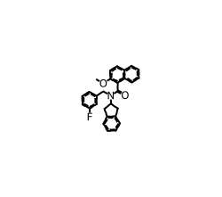 COc1ccc2ccccc2c1C(=O)N(Cc1cccc(F)c1)C1Cc2ccccc2C1